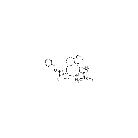 CC1CCCC2CC1O[C@H](C)[C@@H](C(=O)N(C)C)NCC1CCC3(CN(OCc4ccccc4)C3=O)N1C2